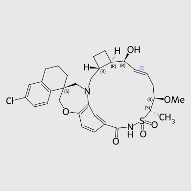 CO[C@@H]1C/C=C/[C@H](O)[C@@H]2CC[C@H]2CN2C[C@@]3(CCCc4cc(Cl)ccc43)COc3ccc(cc32)C(=O)NS(=O)(=O)[C@H]1C